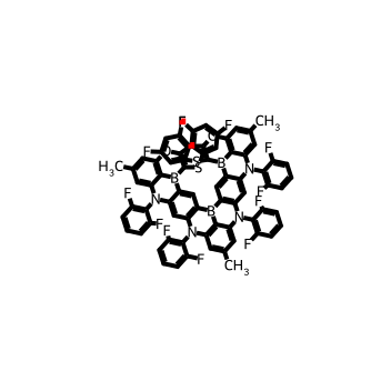 Cc1cc2c3c(c1)N(c1c(F)cccc1F)c1cc4c(cc1B3c1sc3cc(F)cc(F)c3c1O2)B1c2cc3c(cc2N(c2c(F)cccc2F)c2cc(C)cc(c21)N4c1c(F)cccc1F)N(c1c(F)cccc1F)c1cc(C)cc2c1B3c1sc3cc(F)cc(F)c3c1O2